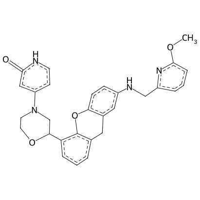 COc1cccc(CNc2ccc3c(c2)Cc2cccc(C4CN(c5cc[nH]c(=O)c5)CCO4)c2O3)n1